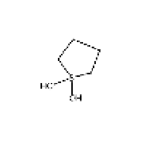 OS1(O)[CH]CCC1